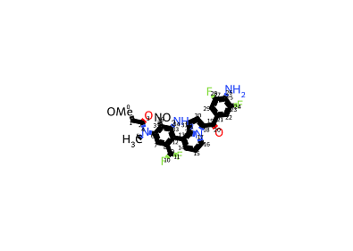 COCC(=O)N(C)c1cc(C(F)F)c(-c2cccn3c(C(=O)c4cc(F)c(N)c(F)c4)ccc23)c(N)c1[N+](=O)[O-]